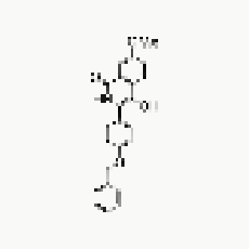 COc1ccc2c(O)c(-c3ccc(OCc4ccccc4)cc3)[nH]c(=O)c2c1